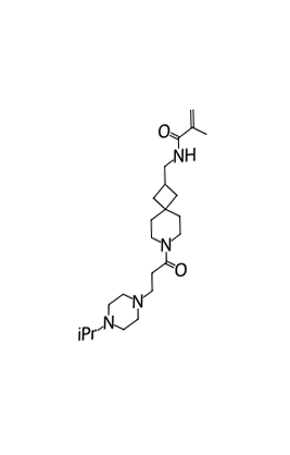 C=C(C)C(=O)NCC1CC2(CCN(C(=O)CCN3CCN(C(C)C)CC3)CC2)C1